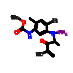 C=C(C#N)C(=O)C(C)N(P)c1cc(NC(=O)OC(C)(C)C)c(C)cc1CC